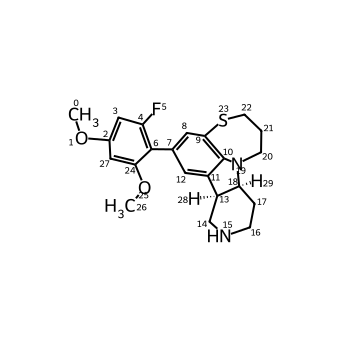 COc1cc(F)c(-c2cc3c4c(c2)[C@@H]2CNCC[C@@H]2N4CCCS3)c(OC)c1